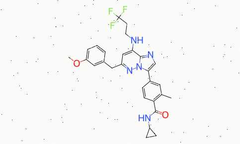 COc1cccc(Cc2cc(NCCC(F)(F)F)c3ncc(-c4ccc(C(=O)NC5CC5)c(C)c4)n3n2)c1